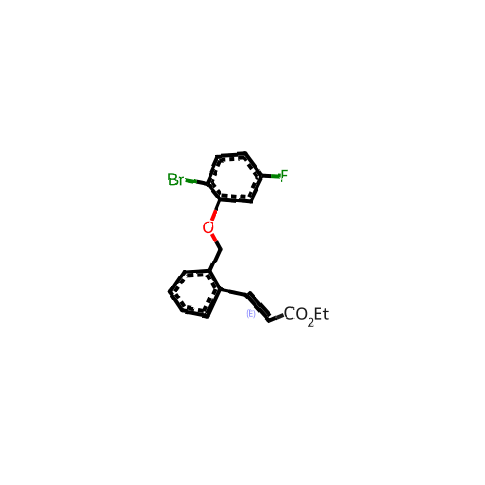 CCOC(=O)/C=C/c1ccccc1COc1cc(F)ccc1Br